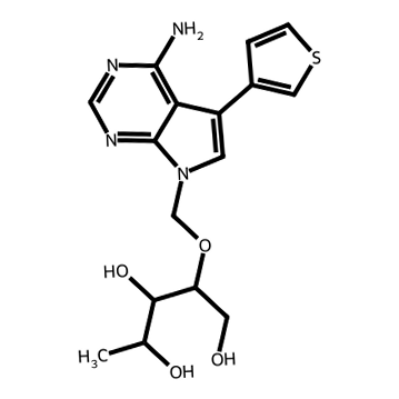 CC(O)C(O)C(CO)OCn1cc(-c2ccsc2)c2c(N)ncnc21